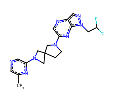 FC(F)Cn1ncc2ncc(N3CCC4(CN(c5cncc(C(F)(F)F)n5)C4)C3)nc21